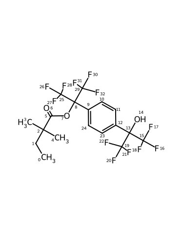 CCC(C)(C)C(=O)OC(c1ccc(C(O)(C(F)(F)F)C(F)(F)F)cc1)(C(F)(F)F)C(F)(F)F